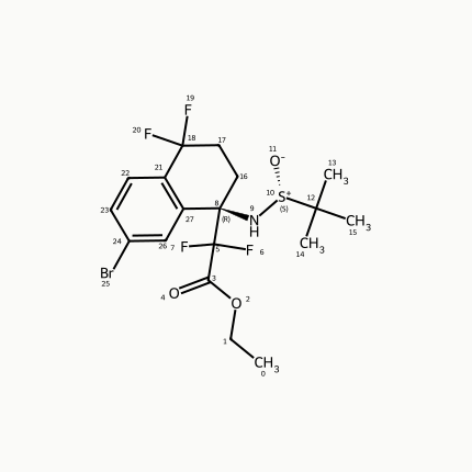 CCOC(=O)C(F)(F)[C@@]1(N[S@+]([O-])C(C)(C)C)CCC(F)(F)c2ccc(Br)cc21